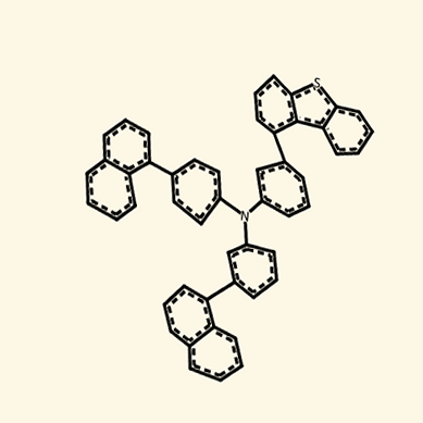 c1cc(-c2cccc3ccccc23)cc(N(c2ccc(-c3cccc4ccccc34)cc2)c2cccc(-c3cccc4sc5ccccc5c34)c2)c1